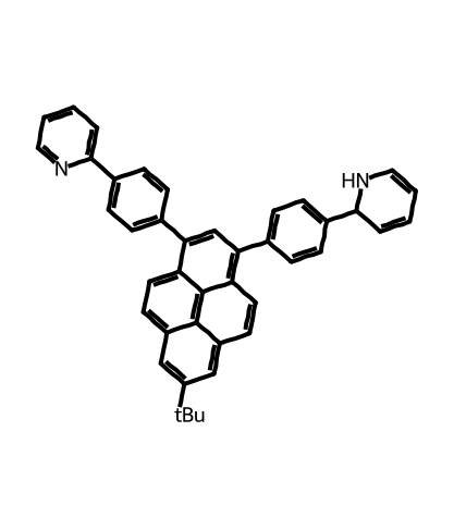 CC(C)(C)c1cc2ccc3c(-c4ccc(-c5ccccn5)cc4)cc(-c4ccc(C5C=CC=CN5)cc4)c4ccc(c1)c2c34